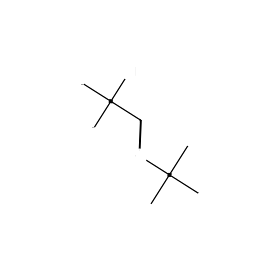 CC(C)(C)OCC(Cl)(Cl)Cl